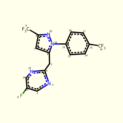 Fc1cnc(Cc2cc(C(F)(F)F)nn2-c2ccc(C(F)(F)F)cc2)nc1